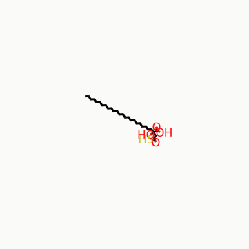 CCCCCCCCCCCCCCCCCCCCCCCCC(O)(CC(=O)S)C(=O)O